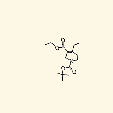 CCOC(=O)C1=C(CC)CCN(C(=O)OC(C)(C)C)C1